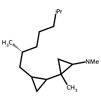 CNC1CC1(C)C1CC1C[C@H](C)CCCC(C)C